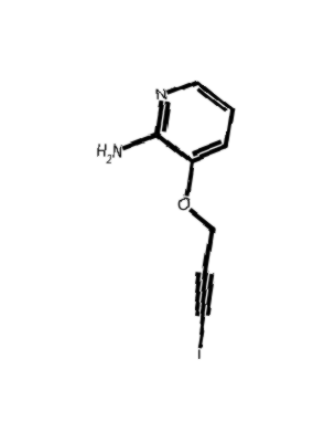 Nc1ncccc1OCC#CI